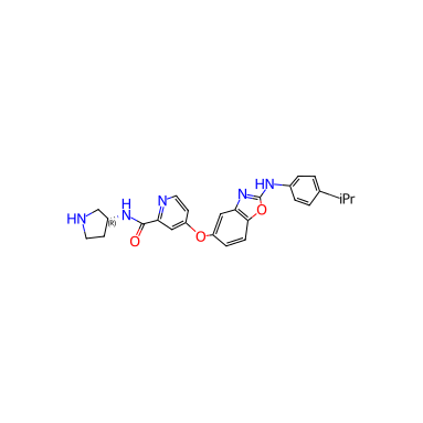 CC(C)c1ccc(Nc2nc3cc(Oc4ccnc(C(=O)N[C@@H]5CCNC5)c4)ccc3o2)cc1